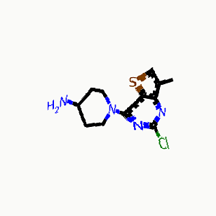 Cc1csc2c(N3CCC(N)CC3)nc(Cl)nc12